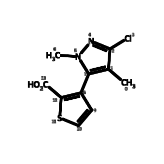 Cc1c(Cl)nn(C)c1-c1ccsc1C(=O)O